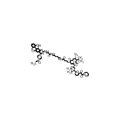 C=CC(=O)N1CCN(c2nc(NCCC(=O)NCCCCCCNC(=O)CCC[C@H](/C=C(\C)C[C@@H](C[C@H](OC)[C@@H]3CCCC(C(=O)C(=O)N4CCCCC4)O3)OC)C(=O)CC[C@@H](C)[C@H](OC=O)C(=C)C)nc3c(F)c(-c4c(O)cccc4F)c(Cl)cc23)CC1